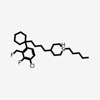 CCCCC[SiH]1CCC(CCCCC2(c3ccc(Cl)c(F)c3CF)CCCCC2)CC1